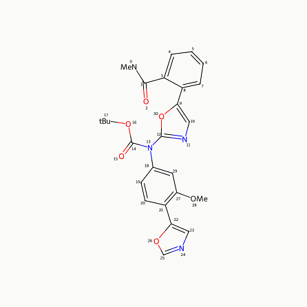 CNC(=O)c1ccccc1-c1cnc(N(C(=O)OC(C)(C)C)c2ccc(-c3cnco3)c(OC)c2)o1